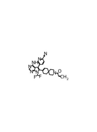 C=CC(=O)N1CCC2(CC=C(c3c(-c4ccc(C#N)nc4)c4c(N)ncnc4n3C(F)F)CC2)CC1